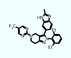 CCc1cccc(CC)c1-n1nc2c(c1-c1ccc3nc(C)[nH]c3c1)CN(c1ncc(C(F)(F)F)cn1)CC2